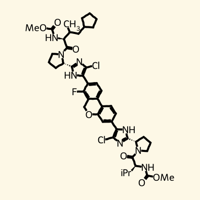 COC(=O)N[C@H](C(=O)N1CCC[C@H]1c1nc(Cl)c(-c2ccc3c(c2)OCc2c-3ccc(-c3[nH]c([C@@H]4CCCN4C(=O)[C@@H](NC(=O)OC)C(C)CC4CCCC4)nc3Cl)c2F)[nH]1)C(C)C